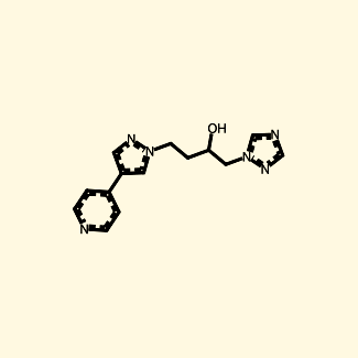 OC(CCn1cc(-c2ccncc2)cn1)Cn1cncn1